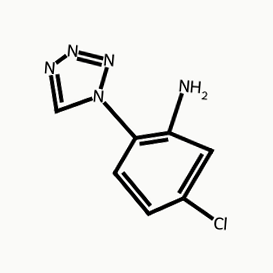 Nc1cc(Cl)ccc1-n1cnnn1